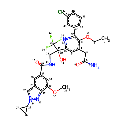 CCOc1c(CC(N)=O)cc([C@@](O)(CNC(=O)c2cc(OC)c3nn(C4CC4)cc3c2)C(F)(F)F)nc1-c1cccc(Cl)c1